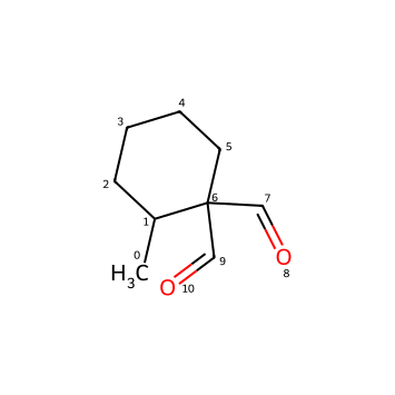 CC1CCCCC1(C=O)C=O